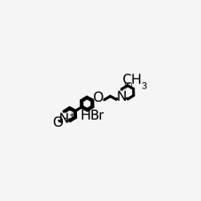 Br.C[C@H]1CCCN(CCCOc2ccc(-c3cc[n+]([O-])cc3)cc2)C1